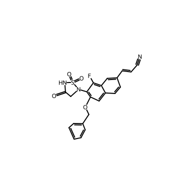 N#CC=Cc1ccc2cc(OCc3ccccc3)c(N3CC(=O)NS3(=O)=O)c(F)c2c1